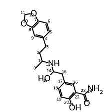 CC(CCc1ccc2c(c1)OCO2)NC(O)Cc1ccc(O)c(C(N)=O)c1